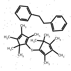 CC1=C(C)C(C)(C)[C]([Ti][C]2=C(C)C(C)=C(C)C2(C)C)=C1C.c1ccc(CCc2ccccc2)cc1